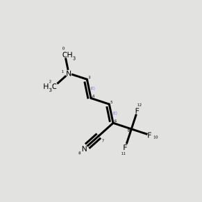 CN(C)/C=C/C=C(\C#N)C(F)(F)F